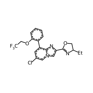 CCC1COC(c2cn3cc(Cl)cc(-c4ccccc4OCC(F)(F)F)c3n2)=N1